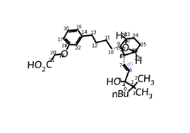 CCCCC(C)(C)C(O)/C=C/[C@@H]1[C@H](CCCCc2cccc(OCC(=O)O)c2)[C@@H]2CC[C@H]1O2